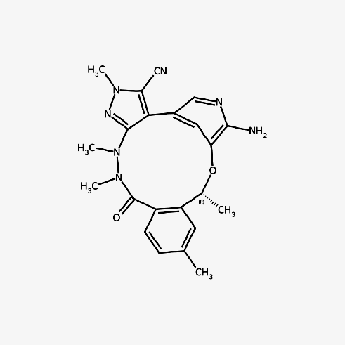 Cc1ccc2c(c1)[C@@H](C)Oc1cc(cnc1N)-c1c(nn(C)c1C#N)N(C)N(C)C2=O